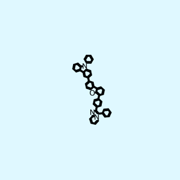 c1ccc(-c2c(-c3ccc(-c4cccc5c4oc4ccc(-c6ccc7c(c6)c6ccccc6n7-c6ccccc6)cc45)cc3)nc3ccccn23)cc1